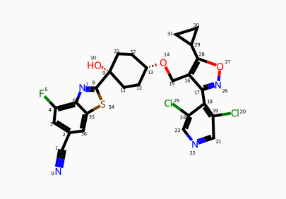 N#Cc1cc(F)c2nc([C@]3(O)CC[C@@H](OCc4c(-c5c(Cl)cncc5Cl)noc4C4CC4)CC3)sc2c1